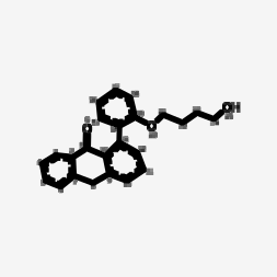 O=C1c2ccccc2Cc2cccc(-c3ccccc3OCCCCO)c21